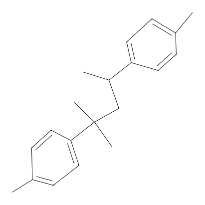 Cc1ccc(C(C)CC(C)(C)c2ccc(C)cc2)cc1